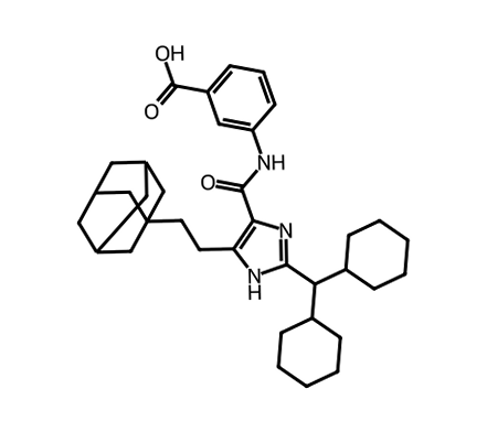 O=C(O)c1cccc(NC(=O)c2nc(C(C3CCCCC3)C3CCCCC3)[nH]c2CCC23CC4CC(CC(C4)C2)C3)c1